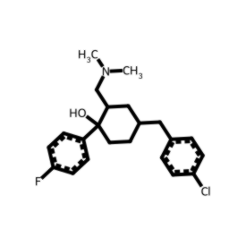 CN(C)CC1CC(Cc2ccc(Cl)cc2)CCC1(O)c1ccc(F)cc1